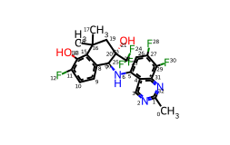 Cc1ncc2c(N[C@H]3c4ccc(F)c(O)c4C(C)(C)C[C@@]3(O)C(F)(F)F)cc(F)c(F)c2n1